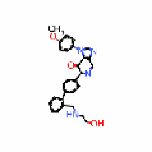 COc1ccc(-n2cnc3c2C(=O)C(c2ccc(-c4ccccc4CNCCO)cc2)N=C3)cc1